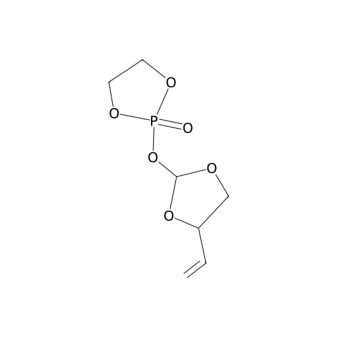 C=CC1COC(OP2(=O)OCCO2)O1